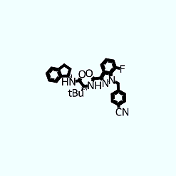 CC(C)(C)[C@H](NC(=O)c1nn(Cc2ccc(C#N)cc2)c2c(F)cccc12)C(=O)N[C@H]1CCc2ccccc21